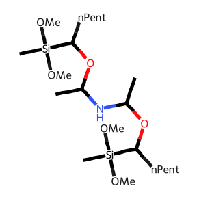 CCCCCC(OC(C)NC(C)OC(CCCCC)[Si](C)(OC)OC)[Si](C)(OC)OC